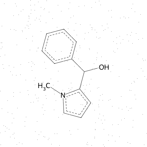 Cn1cccc1C(O)c1ccccc1